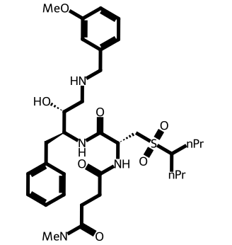 CCCC(CCC)S(=O)(=O)C[C@H](NC(=O)CCC(=O)NC)C(=O)N[C@@H](Cc1ccccc1)[C@H](O)CNCc1cccc(OC)c1